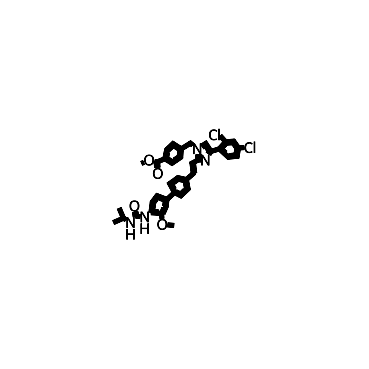 COC(=O)c1ccc(Cn2cc(-c3ccc(Cl)cc3Cl)nc2/C=C/c2ccc(-c3ccc(NC(=O)NC(C)C)c(OC)c3)cc2)cc1